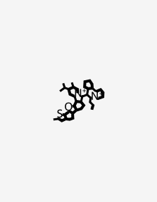 C=CCC1C(C2c3ccc4c(oc5c4ccc4cc(C)sc45)c3-c3cc(C(C)C)c(C)c[n+]32)c2ccccc2-c2cccc[n+]21